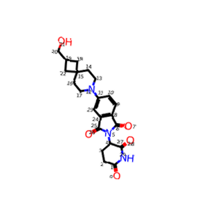 O=C1CCC(N2C(=O)c3ccc(N4CCC5(CC4)CC(CO)C5)cc3C2=O)C(=O)N1